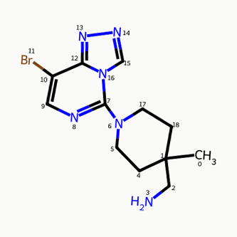 CC1(CN)CCN(c2ncc(Br)c3nncn23)CC1